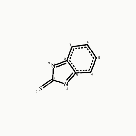 S=C1N=c2ccccc2=N1